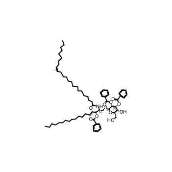 CCCCCCCC/C=C\CCCCCCCCCCCCCC(=O)N[C@@H](CO[C@H]1O[C@H](CO)[C@@H](O)[C@H](OC(=O)c2ccccc2)[C@H]1OC(=O)c1ccccc1)[C@@H](/C=C/CCCCCCCCCCCCC)OC(=O)c1ccccc1